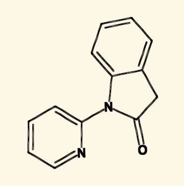 O=C1Cc2ccccc2N1c1ccccn1